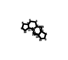 C1CC2=NC3CCC4CCCC4N3N=C2C1